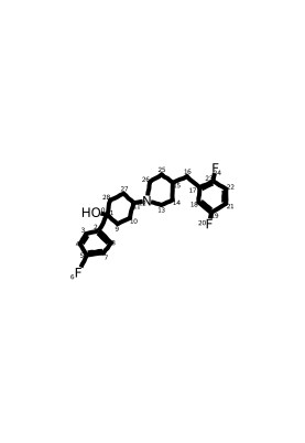 OC1(c2ccc(F)cc2)CCC(N2CCC(Cc3cc(F)ccc3F)CC2)CC1